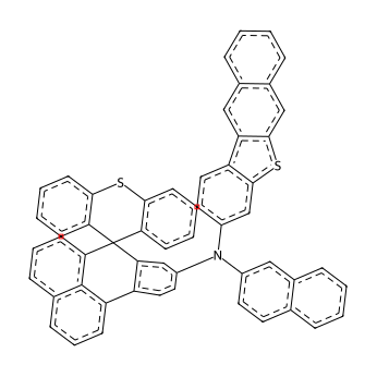 c1ccc2c(c1)Sc1ccccc1C21c2cc(N(c3ccc4ccccc4c3)c3ccc4c(c3)sc3cc5ccccc5cc34)ccc2-c2cccc3cccc1c23